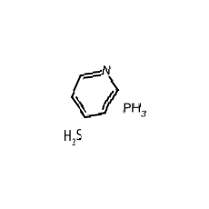 P.S.c1ccncc1